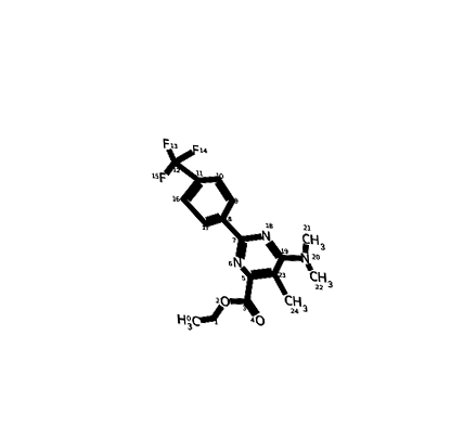 CCOC(=O)c1nc(-c2ccc(C(F)(F)F)cc2)nc(N(C)C)c1C